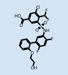 O=C(O)c1cc(Cl)c(C(F)F)c(S(=O)(=O)Nc2cc(-c3ccccc3OCCO)c(F)cc2F)c1